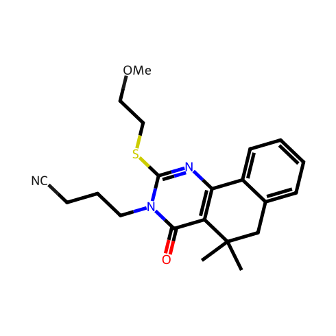 COCCSc1nc2c(c(=O)n1CCCC#N)C(C)(C)Cc1ccccc1-2